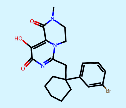 CN1CCn2c(CC3(c4cccc(Br)c4)CCCCC3)nc(=O)c(O)c2C1=O